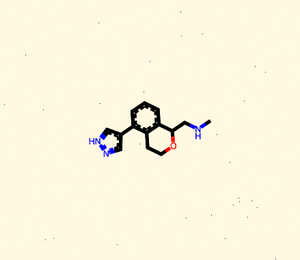 CNCC1OCCc2c(-c3cn[nH]c3)cccc21